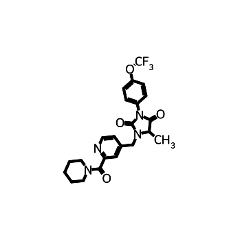 CC1C(=O)N(c2ccc(OC(F)(F)F)cc2)C(=O)N1Cc1ccnc(C(=O)N2CCCCC2)c1